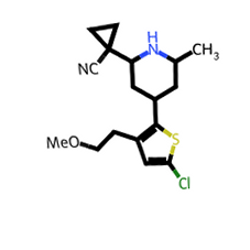 COCCc1cc(Cl)sc1C1CC(C)NC(C2(C#N)CC2)C1